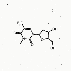 Cn1c(=O)c(C(F)(F)F)cn([C@H]2C[C@@H](O)[C@@H](CO)O2)c1=O